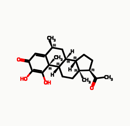 CC(=O)[C@@H]1CC[C@H]2[C@@H]3C[C@H](C)C4=CC(=O)C(O)=C(O)[C@]4(C)[C@H]3CC[C@]12C